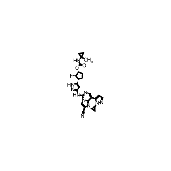 CC1(NC(=O)O[C@@H]2CC[C@H](c3cc(Nc4ncc(-c5ccnn5C5CC5)c5nc(C#N)cn45)n[nH]3)[C@H]2F)CC1